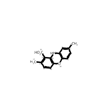 Cc1ccc2c(c1)Pc1c(ccc(C)c1C(=O)O)O2